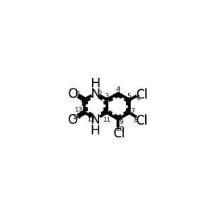 O=c1[nH]c2cc(Cl)c(Cl)c(Cl)c2[nH]c1=O